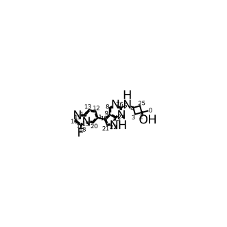 CC1(O)CC(Nc2ncc3c(-c4ccc5ncc(F)n5c4)c[nH]c3n2)C1